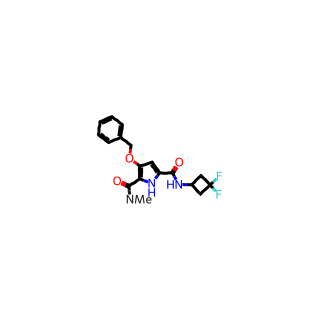 CNC(=O)c1[nH]c(C(=O)NC2CC(F)(F)C2)cc1OCc1ccccc1